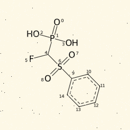 O=P(O)(O)C(F)S(=O)(=O)c1ccccc1